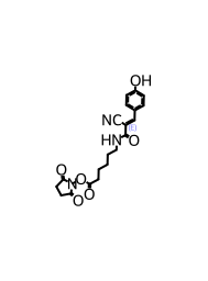 N#C/C(=C\c1ccc(O)cc1)C(=O)NCCCCCC(=O)ON1C(=O)CCC1=O